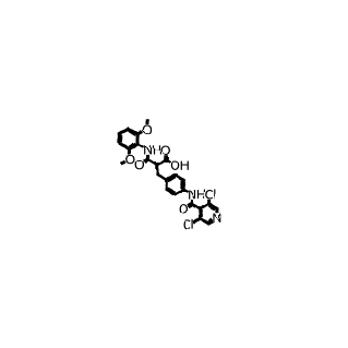 COc1cccc(OC)c1NC(=O)C(Cc1ccc(NC(=O)c2c(Cl)cncc2Cl)cc1)C(=O)O